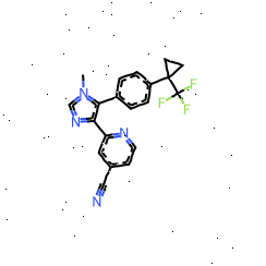 Cn1cnc(-c2cc(C#N)ccn2)c1-c1ccc(C2(C(F)(F)F)CC2)cc1